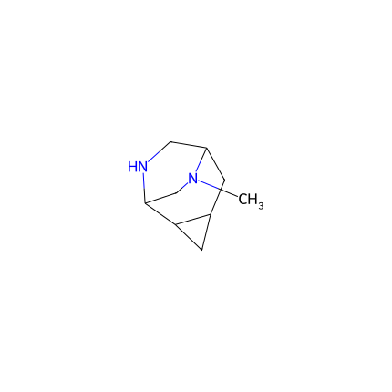 CN1CC2NCC1CC1CC12